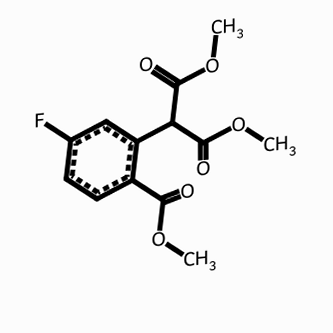 COC(=O)c1ccc(F)cc1C(C(=O)OC)C(=O)OC